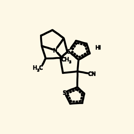 CC1C(CC(C#N)(c2cccs2)c2cccs2)CC2CCC1N2C.I